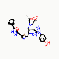 C[C@@H]1CN(CC2C=C(Cc3ncc(-c4nnc(-c5ccccc5)o4)s3)N=C(NC34CCC(O)(CC3)CC4)C2)C[C@H](C)O1